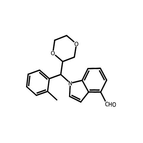 Cc1ccccc1C(C1COCCO1)n1ccc2c(C=O)cccc21